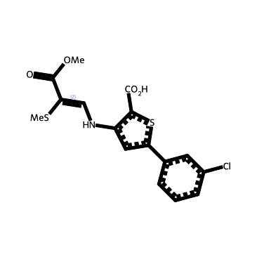 COC(=O)/C(=C/Nc1cc(-c2cccc(Cl)c2)sc1C(=O)O)SC